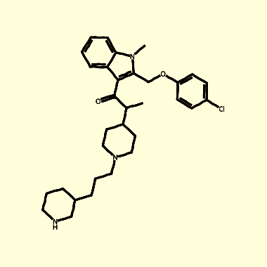 CC(C(=O)c1c(COc2ccc(Cl)cc2)n(C)c2ccccc12)C1CCN(CCCC2CCCNC2)CC1